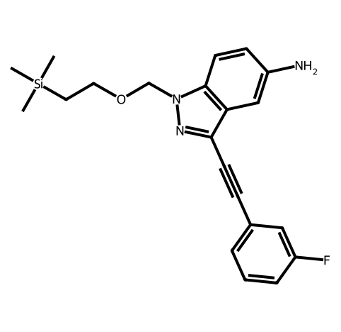 C[Si](C)(C)CCOCn1nc(C#Cc2cccc(F)c2)c2cc(N)ccc21